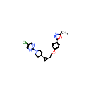 Cc1nnc(-c2ccc(OCC[C@H]3C[C@H]3C3CCN(c4ncc(Cl)cn4)CC3)cc2)o1